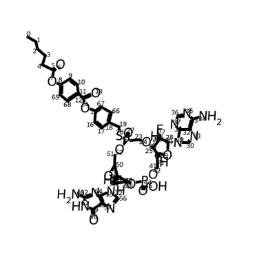 CCCCCC(=O)Oc1ccc(C(=O)Oc2ccc(CSP3(=O)CO[C@H]4[C@@H](F)[C@H](n5cnc6c(N)ncnc65)O[C@@H]4COP(=O)(O)O[C@@H]4[C@H](F)C(CO3)O[C@H]4n3cnc4c(=O)[nH]c(N)nc43)cc2)cc1